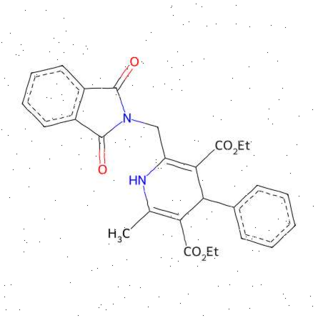 CCOC(=O)C1=C(C)NC(CN2C(=O)c3ccccc3C2=O)=C(C(=O)OCC)C1c1ccccc1